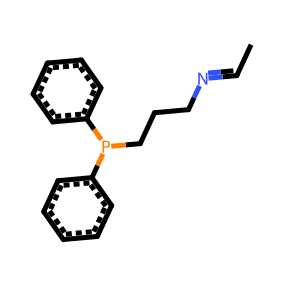 CC=NCCCP(c1ccccc1)c1ccccc1